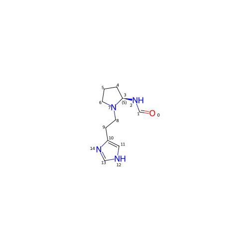 O=CN[C@@H]1CCCN1CCc1c[nH]cn1